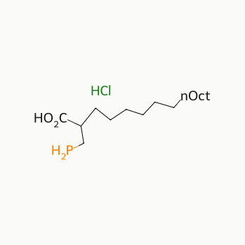 CCCCCCCCCCCCCCC(CP)C(=O)O.Cl